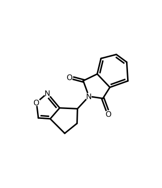 O=C1c2ccccc2C(=O)N1C1CCc2conc21